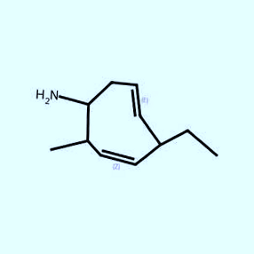 CCC1/C=C\C(C)C(N)C/C=C/1